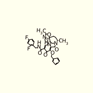 CC1=NOC2(CC[C@H](C)N3C[C@H]2n2cc(C(=O)NCc4ccc(F)cc4F)c(=O)c(OCc4ccccc4)c2C3=O)O1